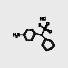 Cl.Nc1ccc(C(c2ccccc2)S(=O)(=O)F)cc1